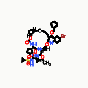 C=C[C@@H]1C[C@]1(NC(=O)[C@@H]1C[C@@H]2CN1C(=O)[C@H](C1CCCC1)NC(=O)O[C@@H]1CCC[C@H]1CCC=CCc1c(nc3ccc(Br)cc3c1OCc1ccccc1)O2)C(=O)NS(=O)(=O)C1CC1